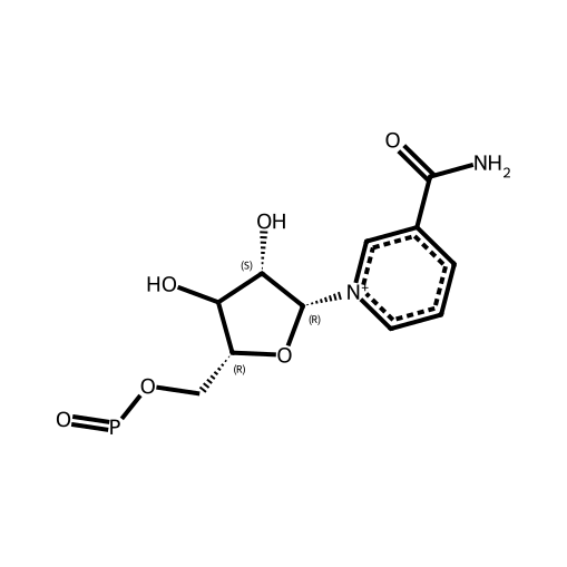 NC(=O)c1ccc[n+]([C@@H]2O[C@H](COP=O)C(O)[C@@H]2O)c1